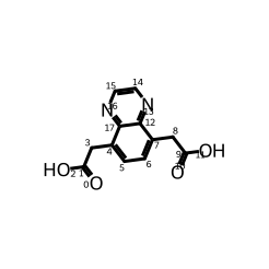 O=C(O)Cc1ccc(CC(=O)O)c2nccnc12